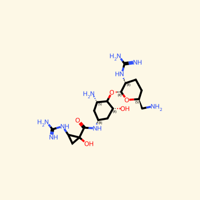 N=C(N)NC1CC1(O)C(=O)N[C@H]1C[C@@H](O)C(O[C@H]2O[C@H](CN)CC[C@H]2NC(=N)N)[C@@H](N)C1